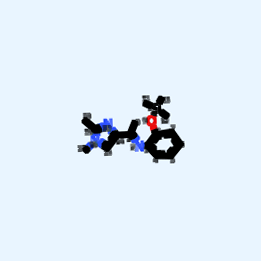 CC(=Nc1ccccc1O[Si](C)(C)C)c1cn(C)c(C)n1